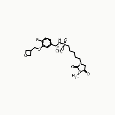 C[C@@H](NS(=O)(=O)CCCCCN1CC(=O)N(C)C1=O)c1ccc(F)c(OCC2COC2)c1